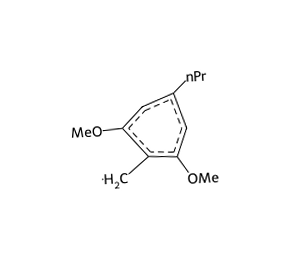 [CH2]c1c(OC)cc(CCC)cc1OC